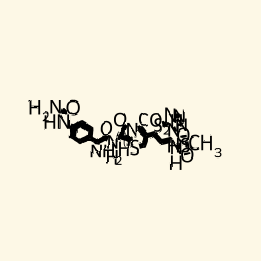 CS(=O)(=O)NCCC(Sc1nnn[nH]1)C1=C(C(=O)O)N2C(=O)[C@@H](NC(=O)C(N)c3ccc(NC(N)=O)cc3)[C@@H]2SC1